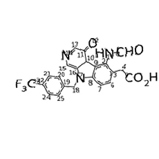 O=CNc1c(CC(=O)O)ccc2c1C1C(=O)C=NC=C1N2Cc1ccc(C(F)(F)F)cc1